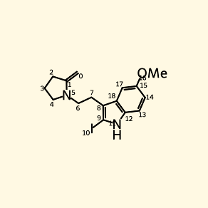 C=C1CCCN1CCc1c(I)[nH]c2ccc(OC)cc12